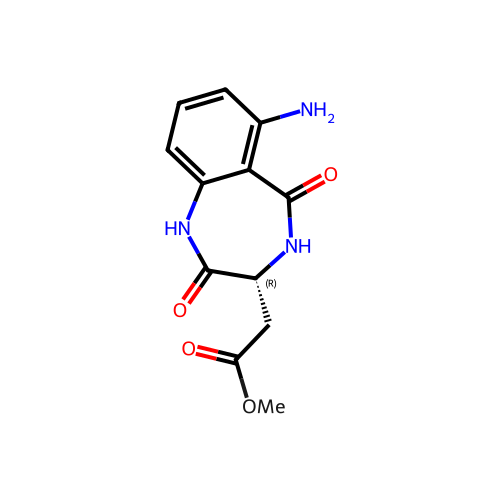 COC(=O)C[C@H]1NC(=O)c2c(N)cccc2NC1=O